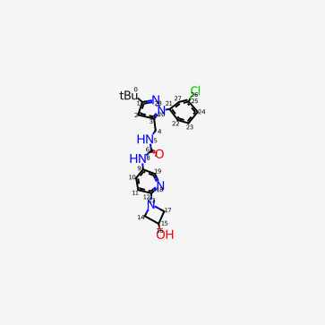 CC(C)(C)c1cc(CNC(=O)Nc2ccc(N3CC(O)C3)nc2)n(-c2cccc(Cl)c2)n1